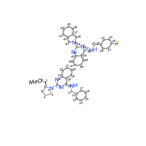 COC[C@@H]1CCCN1c1nc(NCc2ccccc2)c2ccccc2n1.Fc1ccc(CNc2nc(-n3cc4ccccc4c3)nc3ccccc23)cc1